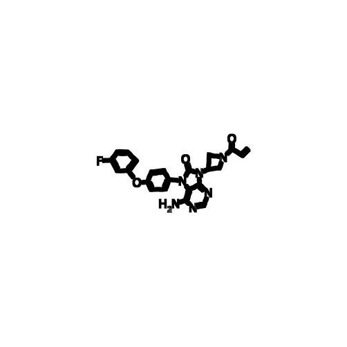 C=CC(=O)N1CC(n2c(=O)n(-c3ccc(Oc4cccc(F)c4)cc3)c3c(N)ncnc32)C1